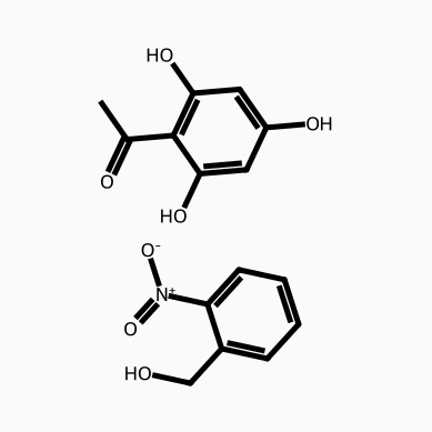 CC(=O)c1c(O)cc(O)cc1O.O=[N+]([O-])c1ccccc1CO